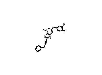 CN1CC(Cc2ccc(F)c(F)c2)=Cc2nc(C#CCc3ccccc3)sc21